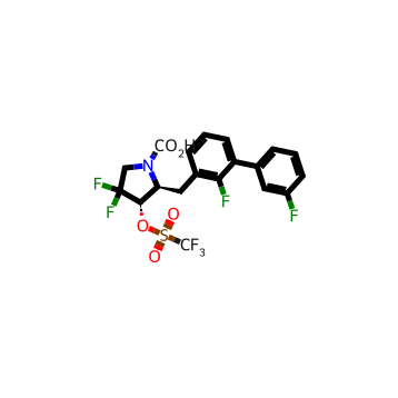 O=C(O)N1CC(F)(F)[C@@H](OS(=O)(=O)C(F)(F)F)[C@@H]1Cc1cccc(-c2cccc(F)c2)c1F